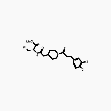 COC(=O)[C@H](CC(C)C)NC(=O)CC1CCN(C(=O)CCc2ccc(Cl)c(Cl)c2)CC1